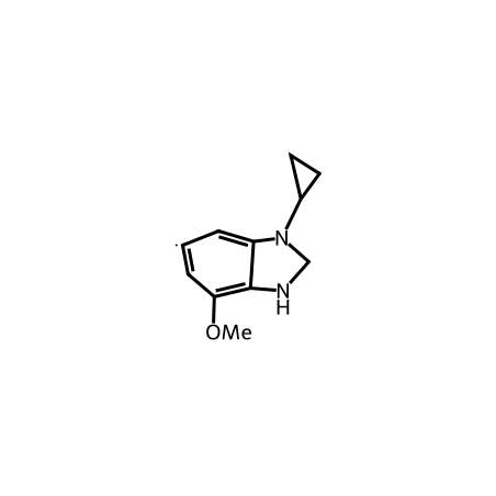 COc1c[c]cc2c1NCN2C1CC1